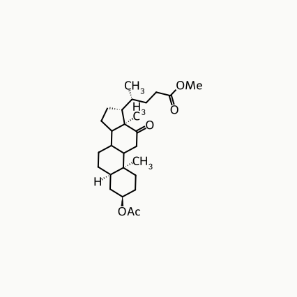 COC(=O)CC[C@@H](C)[C@H]1CCC2C3CC[C@@H]4C[C@H](OC(C)=O)CC[C@]4(C)C3CC(=O)[C@@]21C